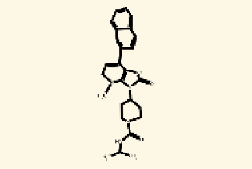 CC(C)NC(=O)N1CCC(n2c3c([nH]c2=O)C(c2ccc4ccccc4c2)=CCN3C)CC1